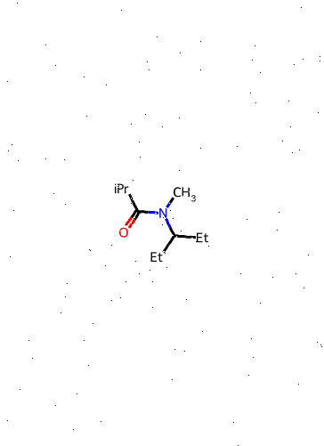 CCC(CC)N(C)C(=O)C(C)C